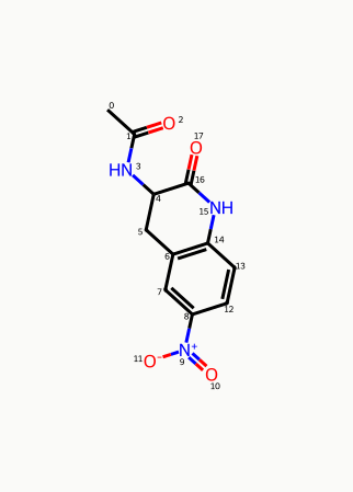 CC(=O)NC1Cc2cc([N+](=O)[O-])ccc2NC1=O